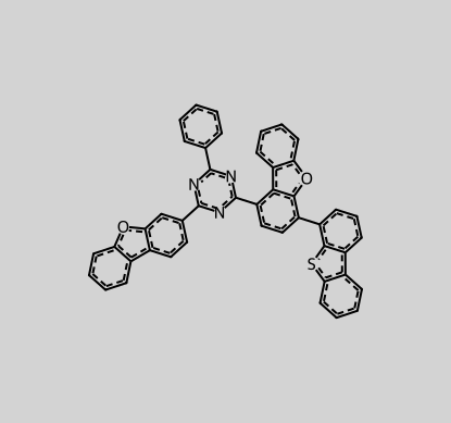 c1ccc(-c2nc(-c3ccc4c(c3)oc3ccccc34)nc(-c3ccc(-c4cccc5c4sc4ccccc45)c4oc5ccccc5c34)n2)cc1